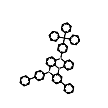 c1ccc(-c2ccc(N3c4ccc(-c5ccccc5)cc4B4c5ccccc5N(c5ccc(C(c6ccccc6)(c6ccccc6)c6ccccc6)cc5)c5cccc3c54)cc2)cc1